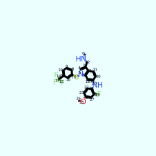 CNCc1cn(Sc2cccc(C(F)(F)F)c2)c2cc(Nc3ccc(OC)cc3F)ccc12